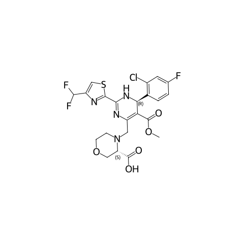 COC(=O)C1=C(CN2CCOC[C@H]2C(=O)O)N=C(c2nc(C(F)F)cs2)N[C@H]1c1ccc(F)cc1Cl